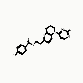 Cc1nccc(N2CCCc3nc(CCNC(=O)c4ccc(Cl)cc4)ccc32)n1